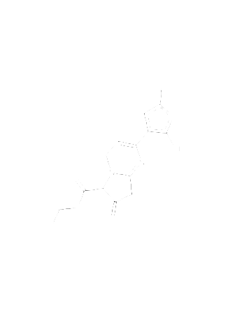 CCOC(=O)C1C(=O)CC2=NC(c3cc(C)oc3C)=CCN21